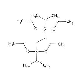 CCO[Si](CC[Si](OCC)(OCC)C(C)C)(OCC)C(C)C